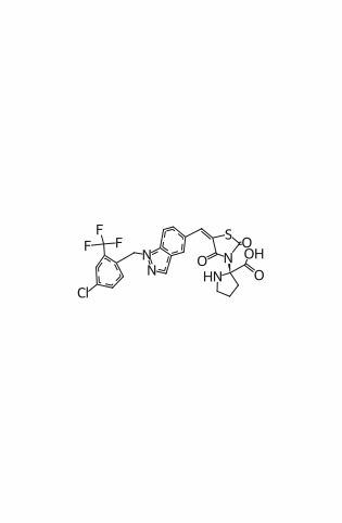 O=C1SC(=Cc2ccc3c(cnn3Cc3ccc(Cl)cc3C(F)(F)F)c2)C(=O)N1[C@@]1(C(=O)O)CCCN1